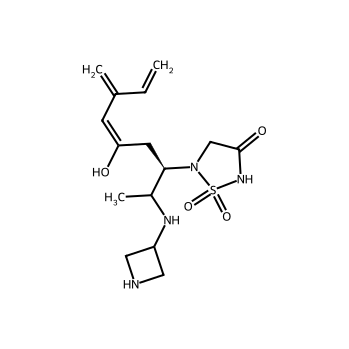 C=CC(=C)/C=C(/O)C[C@H](C(C)NC1CNC1)N1CC(=O)NS1(=O)=O